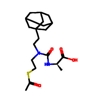 CC(=O)SCCN(CCC12CC3CC(CC(C3)C1)C2)C(=O)N[C@@H](C)C(=O)O